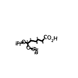 CC(C)OC(CCCCC(=O)O)OC(C)C.[Ti]